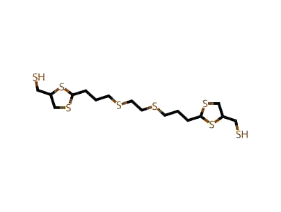 SCC1CSC(CCCSCCSCCCC2SCC(CS)S2)S1